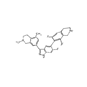 Cc1cc(-c2n[nH]c3cc(F)c(-c4c(F)cc5c(c4F)CNCC5)cc23)cc2c1CCN(C)C2